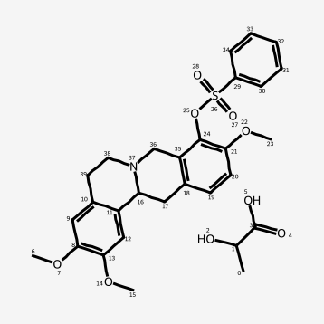 CC(O)C(=O)O.COc1cc2c(cc1OC)C1Cc3ccc(OC)c(OS(=O)(=O)c4ccccc4)c3CN1CC2